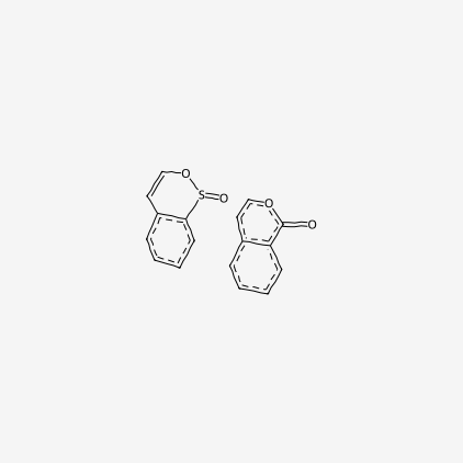 O=S1OC=Cc2ccccc21.O=c1occc2ccccc12